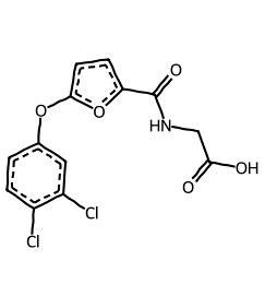 O=C(O)CNC(=O)c1ccc(Oc2ccc(Cl)c(Cl)c2)o1